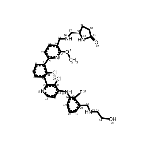 COc1nc(-c2cccc(-c3nccc(Nc4cccc(CNCCO)c4F)c3Cl)c2Cl)ccc1CNC[C@H]1CCC(=O)N1